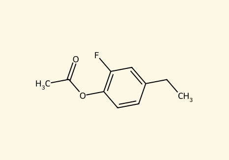 CCc1ccc(OC(C)=O)c(F)c1